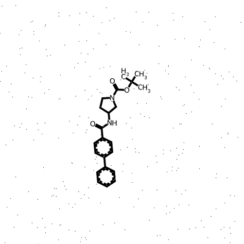 CC(C)(C)OC(=O)N1CCC(NC(=O)c2ccc(-c3ccccc3)cc2)C1